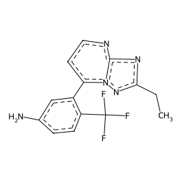 CCc1nc2nccc(-c3cc(N)ccc3C(F)(F)F)n2n1